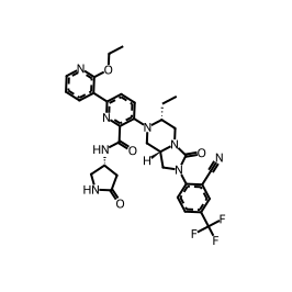 CCOc1ncccc1-c1ccc(N2C[C@H]3CN(c4ccc(C(F)(F)F)cc4C#N)C(=O)N3C[C@H]2CC)c(C(=O)N[C@H]2CNC(=O)C2)n1